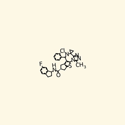 Cc1nnc2n1-c1sc3c(c1C(c1ccccc1Cl)=NC21CC1)C[C@H](C(=O)NC1CCc2ccc(F)cc21)C3